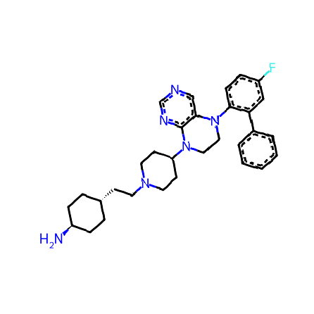 N[C@H]1CC[C@H](CCN2CCC(N3CCN(c4ccc(F)cc4-c4ccccc4)c4cncnc43)CC2)CC1